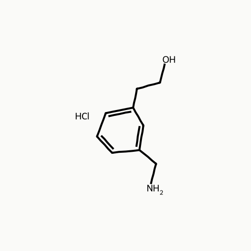 Cl.NCc1cccc(CCO)c1